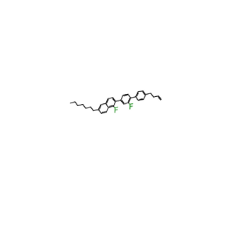 C=CCCc1ccc(-c2ccc(-c3ccc4cc(CCCCCCC)ccc4c3F)cc2F)cc1